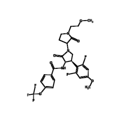 COCCN1CCC(N2C[C@@H](c3c(F)cc(OC)cc3F)C(NC(=O)c3ccc(OC(F)(F)F)cc3)C2=O)C1=O